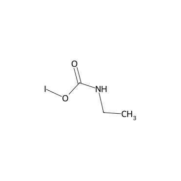 CCNC(=O)OI